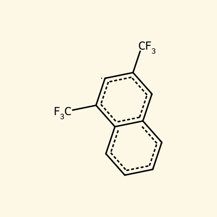 FC(F)(F)c1[c]c(C(F)(F)F)c2ccccc2c1